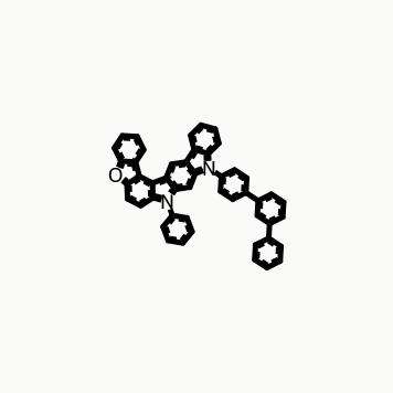 c1ccc(-c2cccc(-c3ccc(-n4c5ccccc5c5cc6c7c8c(ccc7n(-c7ccccc7)c6cc54)oc4ccccc48)cc3)c2)cc1